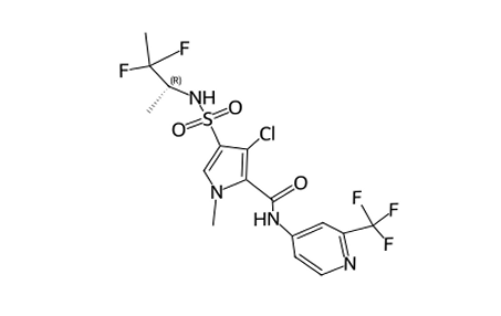 C[C@@H](NS(=O)(=O)c1cn(C)c(C(=O)Nc2ccnc(C(F)(F)F)c2)c1Cl)C(C)(F)F